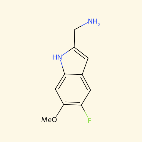 COc1cc2[nH]c(CN)cc2cc1F